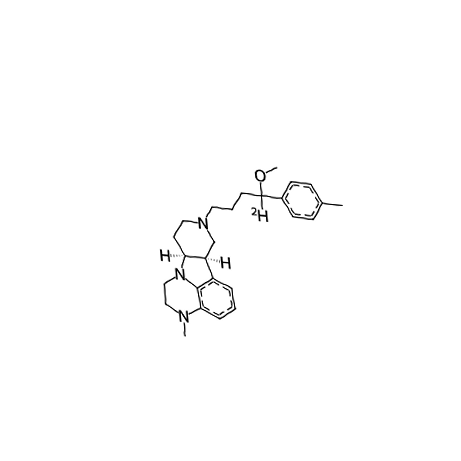 [2H]C(CCCN1CC[C@H]2[C@@H](C1)c1cccc3c1N2CCN3C)(OC)c1ccc(C)cc1